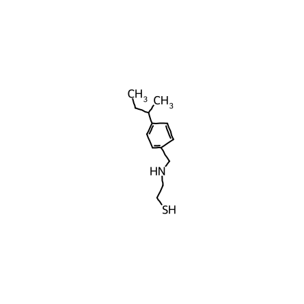 CCC(C)c1ccc(CNCCS)cc1